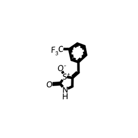 O=C1NCC(=Cc2cccc(C(F)(F)F)c2)[S+]1[O-]